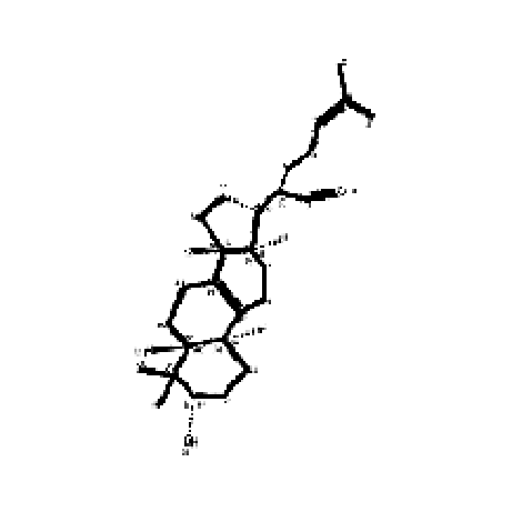 CC(C)=CCC[C@@H](C=O)[C@H]1CC[C@@]2(C)C3=C(CC[C@]12C)[C@@]1(C)CC[C@H](O)C(C)(C)[C@@H]1CC3